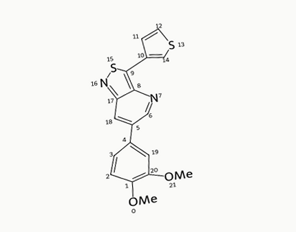 COc1ccc(-c2cnc3c(-c4ccsc4)snc3c2)cc1OC